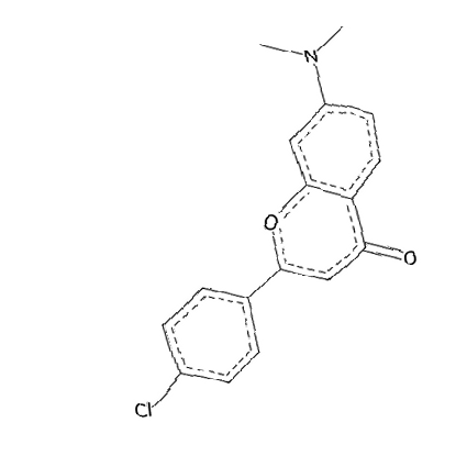 CN(C)c1ccc2c(=O)cc(-c3ccc(Cl)cc3)oc2c1